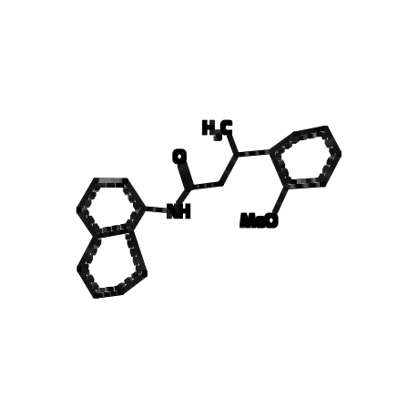 COc1ccccc1C(C)CC(=O)Nc1cccc2ccccc12